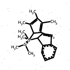 CC1=C(C)[CH]([Zr]([CH3])([CH3])([CH]2C=Cc3ccccc32)=[Si](C)C)C(C)=C1C